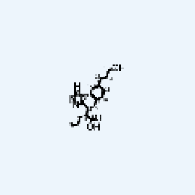 CCC[C@H](C(=O)O)[C@H](Cc1ccc(CCCO)cc1)c1nn[nH]n1